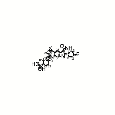 Cc1cc(CN(c2cn3nc(-c4ccc(F)cc4)c(C(N)=O)c3cc2C2CC2)S(C)(=O)=O)ccc1B(O)O